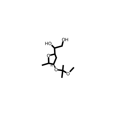 COC(C)(C)O[C@@H]1CC(C(O)CO)OC1C